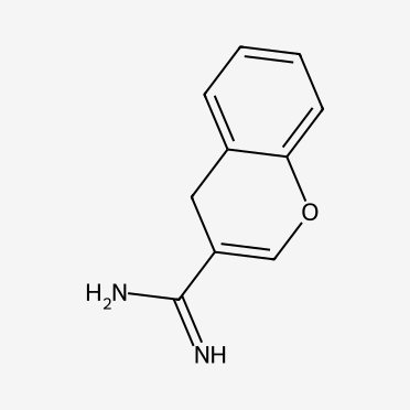 N=C(N)C1=COc2ccccc2C1